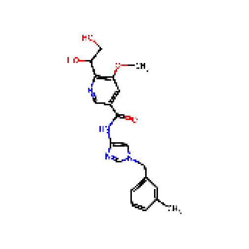 COc1cc(C(=O)Nc2cn(Cc3cccc(C)c3)cn2)cnc1C(O)CO